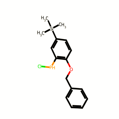 C[Si](C)(C)c1ccc(OCc2ccccc2)c(PCl)c1